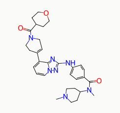 CN1CCC(N(C)C(=O)c2ccc(Nc3nc4c(C5=CCN(C(=O)C6CCOCC6)CC5)cccn4n3)cc2)CC1